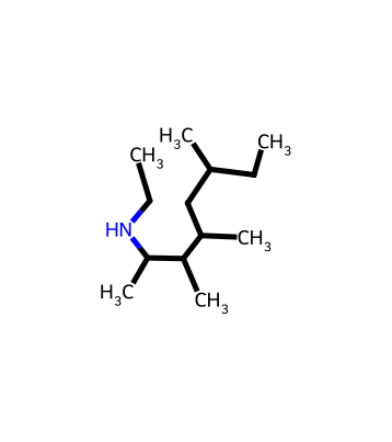 CCNC(C)C(C)C(C)CC(C)CC